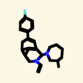 C=CN1CC2C3=C(C=C(c4ccc(F)cc4)CC32)C1N1CCCCC(C)C1